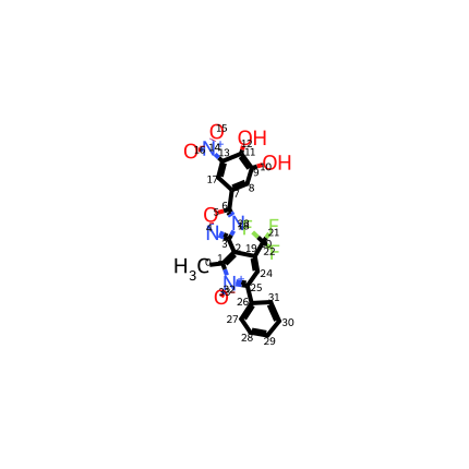 Cc1c(-c2noc(-c3cc(O)c(O)c([N+](=O)[O-])c3)n2)c(C(F)(F)F)cc(-c2ccccc2)[n+]1[O-]